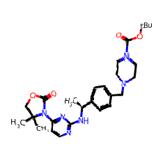 C[C@H](Nc1nccc(N2C(=O)OCC2(C)C)n1)c1ccc(CN2CCN(C(=O)OC(C)(C)C)CC2)cc1